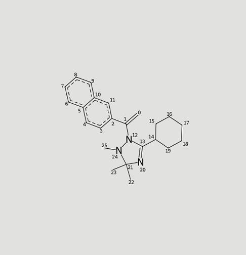 C=C(c1ccc2ccccc2c1)N1C(C2CCCCC2)=NC(C)(C)N1C